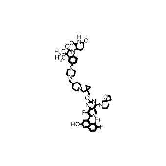 CCc1c(F)ccc2cc(O)cc(-c3ncc4c(N5CCC[C@]6(CCO6)C5)nc(OCC5(CN6CCC(CN7CCN(c8ccc9c(c8)C(C)(C)C(=O)N9C8CCC(=O)NC8=O)CC7)CC6)CC5)nc4c3F)c12